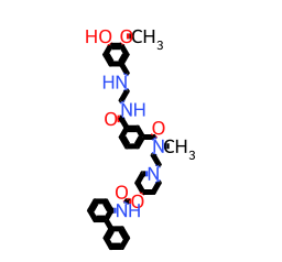 COc1cc(CNCCNC(=O)c2cccc(C(=O)N(C)CCN3CCC(OC(=O)Nc4ccccc4-c4ccccc4)CC3)c2)ccc1O